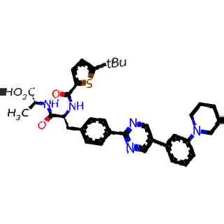 C[C@@H](NC(=O)[C@H](Cc1ccc(-c2ncc(-c3cccc(N4CCCCC4)c3)cn2)cc1)NC(=O)c1ccc(C(C)(C)C)s1)C(=O)O